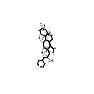 C[C@H](CC1CCSCC1)[C@H]1CCC2=C3CC[C@H]4C[C@@H](O)CC[C@]4(C)C3CC[C@@]21C